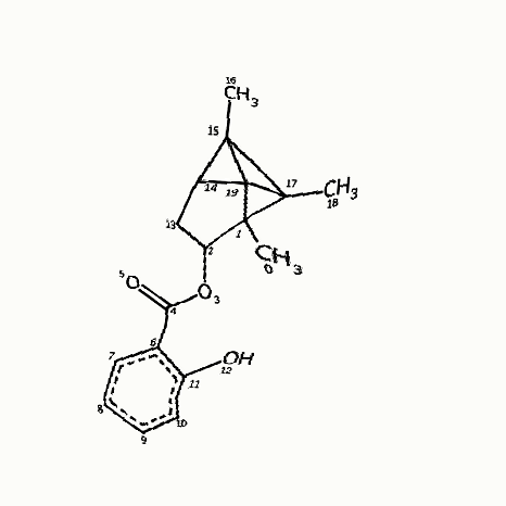 CC12C(OC(=O)c3ccccc3O)CC3C4(C)C1(C)C324